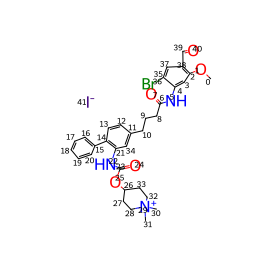 COc1cc(NC(=O)CCCc2ccc(-c3ccccc3)c(NC(=O)OC3CC[N+](C)(C)CC3)c2)c(Br)cc1C=O.[I-]